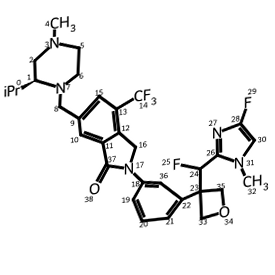 CC(C)[C@H]1CN(C)CCN1Cc1cc2c(c(C(F)(F)F)c1)CN(c1cccc(C3(C(F)c4nc(F)cn4C)COC3)c1)C2=O